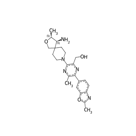 Cc1nc2ccc(-c3nc(CO)c(N4CCC5(CC4)CO[C@@H](C)[C@H]5N)nc3C)cc2o1